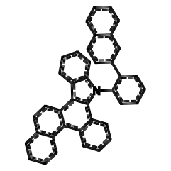 c1ccc(-n2c3ccccc3c3c4ccc5ccccc5c4c4ccccc4c32)c(-c2ccc3ccccc3c2)c1